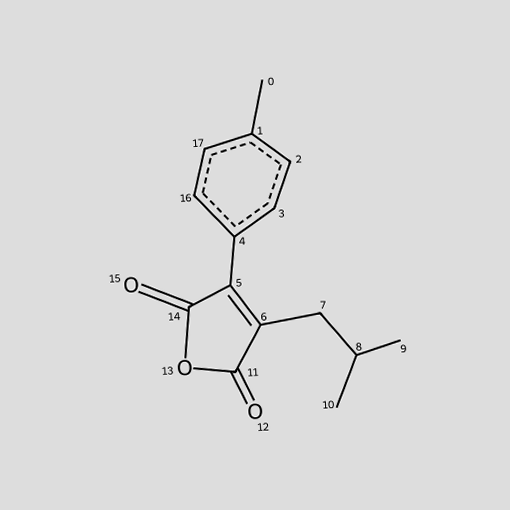 Cc1ccc(C2=C(CC(C)C)C(=O)OC2=O)cc1